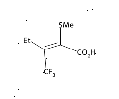 CC/C(=C(\SC)C(=O)O)C(F)(F)F